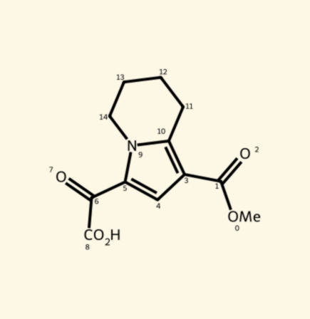 COC(=O)c1cc(C(=O)C(=O)O)n2c1CCCC2